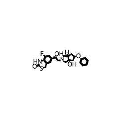 O=C1Nc2c(F)cc([C@H](O)CN3C[C@H]4C[C@H](Oc5ccccc5)C[C@@]4(O)C3)cc2CS1